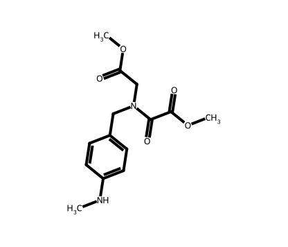 CNc1ccc(CN(CC(=O)OC)C(=O)C(=O)OC)cc1